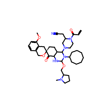 C=CC(=O)N1CCN(C2C3CC[C@@]4(Cc5c(cccc5OC)CO4)C(=O)C3NC(OCC3CCCN3C)N2C2CCCCCCC2)CC1CC#N